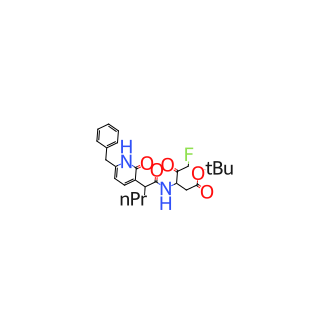 CCCC(C(=O)NC(CC(=O)OC(C)(C)C)C(=O)CF)c1ccc(Cc2ccccc2)[nH]c1=O